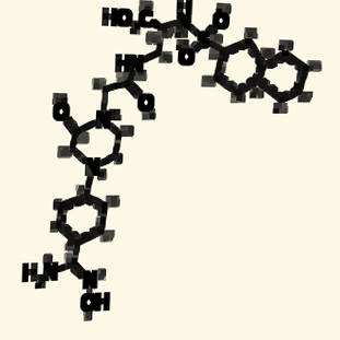 NC(=NO)c1ccc(N2CCN(CC(=O)NC[C@H](NS(=O)(=O)c3ccc4ccccc4c3)C(=O)O)C(=O)C2)cc1